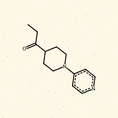 CCC(=O)C1CCN(c2ccncc2)CC1